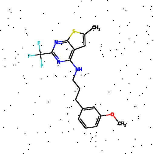 COc1cccc(CCCNc2nc(C(F)(F)F)nc3sc(C)cc23)c1